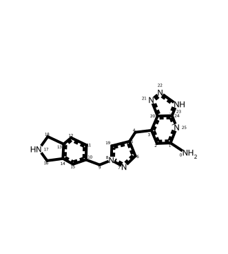 Nc1cc(Cc2cnn(Cc3ccc4c(c3)CNC4)c2)c2nn[nH]c2n1